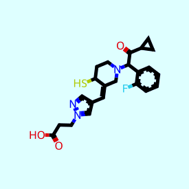 O=C(O)CCn1cc(C=C2CN(C(C(=O)C3CC3)c3ccccc3F)CCC2S)cn1